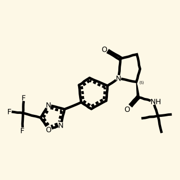 CC(C)(C)NC(=O)[C@@H]1CCC(=O)N1c1ccc(-c2noc(C(F)(F)F)n2)cc1